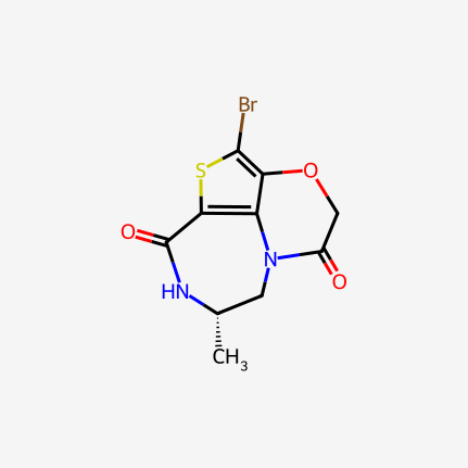 C[C@H]1CN2C(=O)COc3c(Br)sc(c32)C(=O)N1